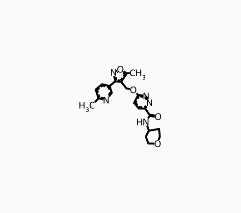 Cc1ccc(-c2noc(C)c2COc2ccc(C(=O)NC3CCOCC3)nn2)cn1